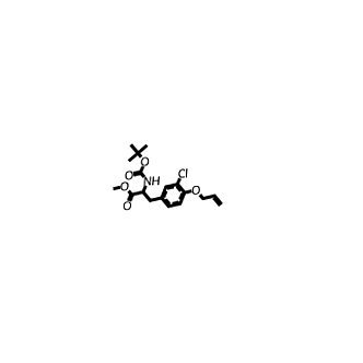 C=CCOc1ccc(CC(NC(=O)OC(C)(C)C)C(=O)OC)cc1Cl